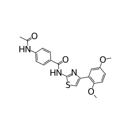 COc1ccc(OC)c(-c2csc(NC(=O)c3ccc(NC(C)=O)cc3)n2)c1